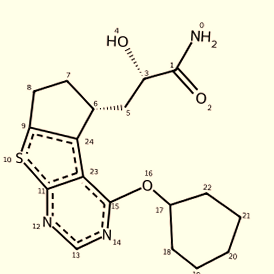 NC(=O)[C@@H](O)C[C@H]1CCc2sc3ncnc(OC4CCCCC4)c3c21